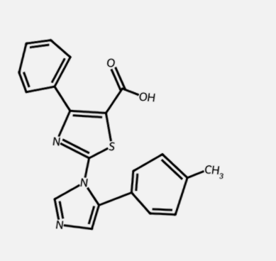 Cc1ccc(-c2cncn2-c2nc(-c3ccccc3)c(C(=O)O)s2)cc1